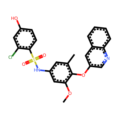 COc1cc(NS(=O)(=O)c2ccc(O)cc2Cl)cc(C)c1Oc1cnc2ccccc2c1